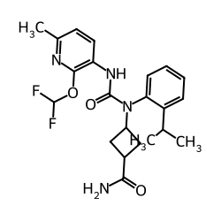 Cc1ccc(NC(=O)N(c2ccccc2C(C)C)C2CC(C(N)=O)C2)c(OC(F)F)n1